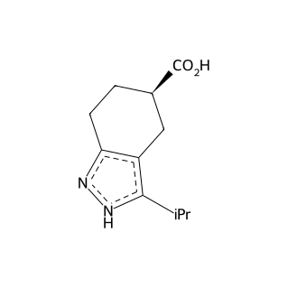 CC(C)c1[nH]nc2c1C[C@H](C(=O)O)CC2